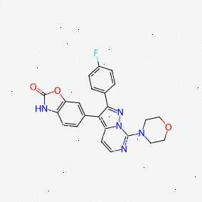 O=c1[nH]c2ccc(-c3c(-c4ccc(F)cc4)nn4c(N5CCOCC5)nccc34)cc2o1